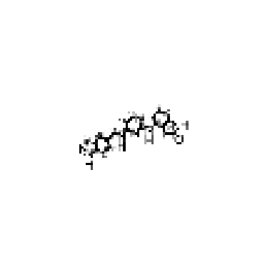 O=C1Cc2c(cccc2Nc2nccc(NCc3ccc4[nH]ncc4c3)n2)N1